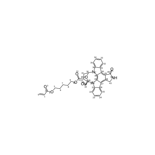 C=CC(=O)OCCCCCOC(=O)[C@@]1(O)CC2O[C@]1(C)n1c3ccccc3c3c4c(c5c6ccccc6n2c5c31)C(=O)NC4